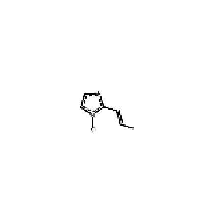 CC=Cc1nccn1Cl